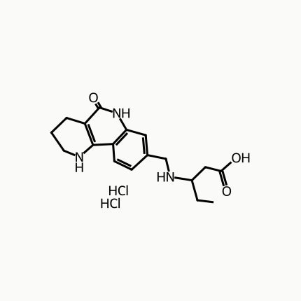 CCC(CC(=O)O)NCc1ccc2c3c(c(=O)[nH]c2c1)CCCN3.Cl.Cl